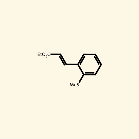 CCOC(=O)C=Cc1ccccc1SC